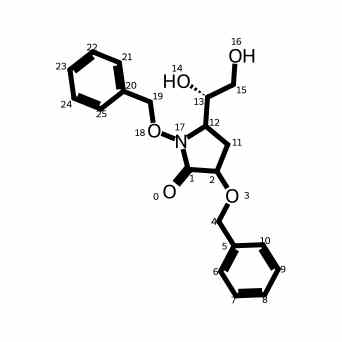 O=C1C(OCc2ccccc2)CC([C@H](O)CO)N1OCc1ccccc1